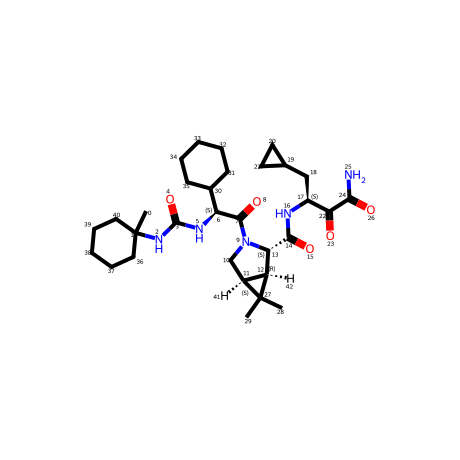 CC1(NC(=O)N[C@H](C(=O)N2C[C@H]3[C@@H]([C@H]2C(=O)N[C@@H](CC2CC2)C(=O)C(N)=O)C3(C)C)C2CCCCC2)CCCCC1